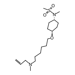 C=CCN(C)CCCCCCO[C@H]1CC[C@H](N(C)S(C)(=O)=O)CC1